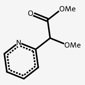 COC(=O)C(OC)c1ccccn1